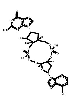 Nc1nc2c(ncn2[C@@H]2C[C@@H]3COP(=O)(O)O[C@@H]4C[C@H](n5cnc6c(N)ccnc65)O[C@@H]4COP(=O)(O)O[C@@H]3C2O)c(=O)[nH]1